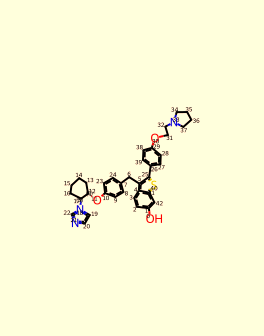 Oc1ccc2c(Cc3ccc(O[C@H]4CCCC[C@@H]4n4ccnc4)cc3)c(-c3ccc(OCCN4CCCC4)cc3)sc2c1